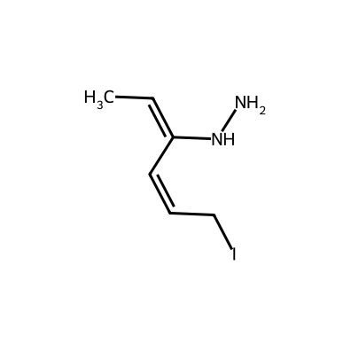 C/C=C(\C=C/CI)NN